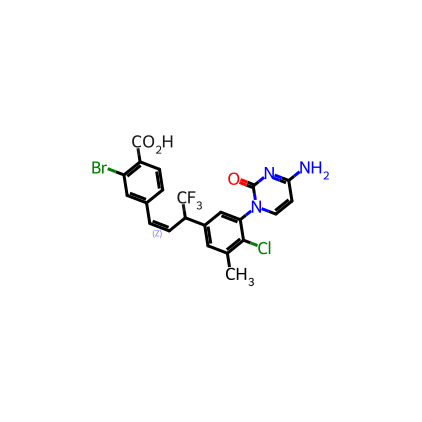 Cc1cc(C(/C=C\c2ccc(C(=O)O)c(Br)c2)C(F)(F)F)cc(-n2ccc(N)nc2=O)c1Cl